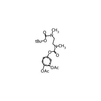 CC(=O)Oc1ccc(OC(=O)N(C)CCN(C)C(=O)OC(C)(C)C)cc1OC(C)=O